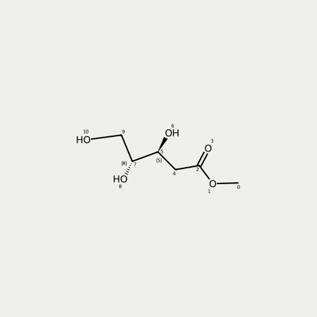 COC(=O)C[C@H](O)[C@H](O)CO